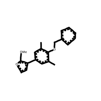 COc1occc1-c1cc(C)c(OCc2ccccc2)c(C)c1